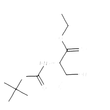 CCOC(=O)[C@@H](NC(=O)OC(C)(C)C)[C@@H](C)O